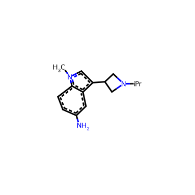 CC(C)N1CC(c2cn(C)c3ccc(N)cc23)C1